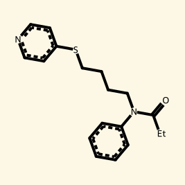 CCC(=O)N(CCCCSc1ccncc1)c1ccccc1